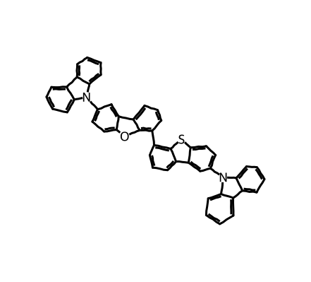 c1cc(-c2cccc3c2sc2ccc(-n4c5ccccc5c5ccccc54)cc23)c2oc3ccc(-n4c5ccccc5c5ccccc54)cc3c2c1